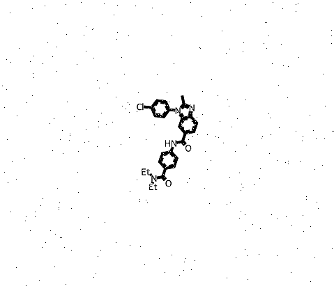 CCN(CC)C(=O)c1ccc(NC(=O)c2ccc3nc(C)n(-c4ccc(Cl)cc4)c3c2)cc1